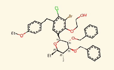 CCOc1ccc(Cc2cc([C@@H]3O[C@H](CC)[C@@H](C)[C@H](OCc4ccccc4)[C@H]3OCc3ccccc3)c(OCCO)c(Br)c2Cl)cc1